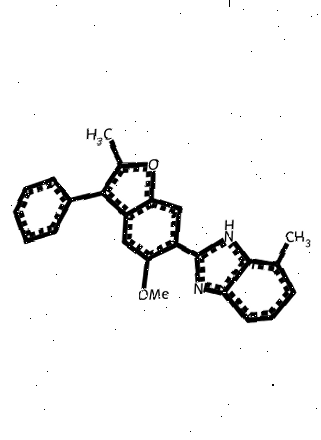 COc1cc2c(-c3ccccc3)c(C)oc2cc1-c1nc2cccc(C)c2[nH]1